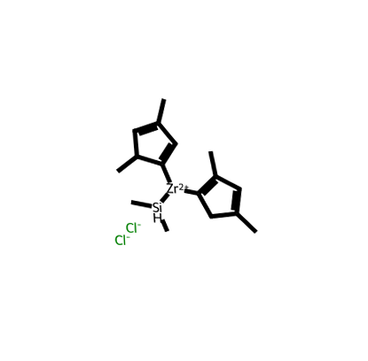 CC1=CC(C)[C]([Zr+2]([C]2=C(C)C=C(C)C2)[SiH](C)C)=C1.[Cl-].[Cl-]